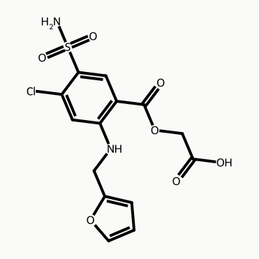 NS(=O)(=O)c1cc(C(=O)OCC(=O)O)c(NCc2ccco2)cc1Cl